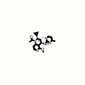 COc1nccc2c1[C@H](Nc1nccc(C)n1)[C@@H](C)[C@H](C1CC1)N2C(C)=O